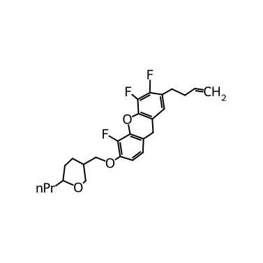 C=CCCc1cc2c(c(F)c1F)Oc1c(ccc(OCC3CCC(CCC)OC3)c1F)C2